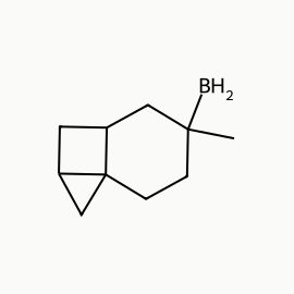 BC1(C)CCC23CC2CC3C1